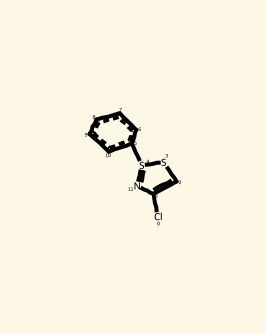 ClC1=CSS(c2ccccc2)=N1